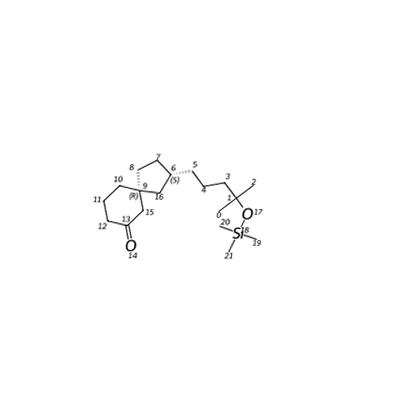 CC(C)(CCC[C@H]1CC[C@]2(CCCC(=O)C2)C1)O[Si](C)(C)C